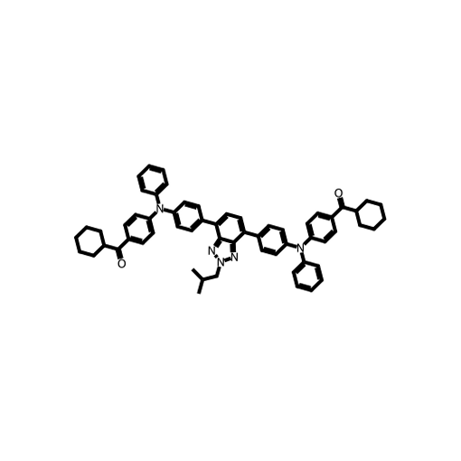 CC(C)Cn1nc2c(-c3ccc(N(c4ccccc4)c4ccc(C(=O)C5CCCCC5)cc4)cc3)ccc(-c3ccc(N(c4ccccc4)c4ccc(C(=O)C5CCCCC5)cc4)cc3)c2n1